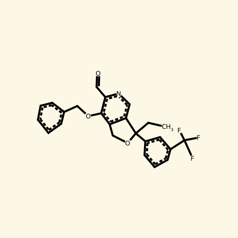 CCC1(c2cccc(C(F)(F)F)c2)OCc2c1cnc(C=O)c2OCc1ccccc1